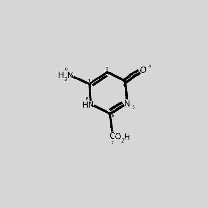 Nc1cc(=O)nc(C(=O)O)[nH]1